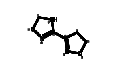 C1CC(C2=NOCN2)=NO1